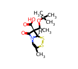 CC1=CN2C(=O)[C@](C(=O)O)([C@@H](C)O[Si](C)(C)C)[C@H]2SS1